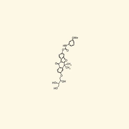 COc1cccc(NC(=O)Oc2ccc3c4c(oc3c2)C(C)(C)c2cc(OC[C@@H](O)[C@H](O)CO)ccc2C4=O)c1